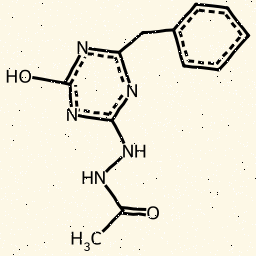 CC(=O)NNc1nc(O)nc(Cc2ccccc2)n1